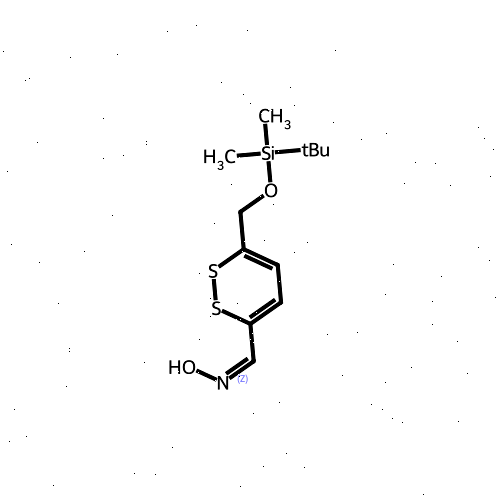 CC(C)(C)[Si](C)(C)OCC1=CC=C(/C=N\O)SS1